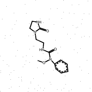 CON(C(=O)NCCN1CCNC1=O)c1ccccc1